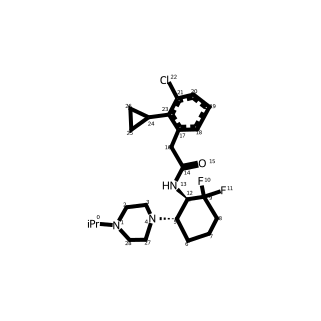 CC(C)N1CCN([C@H]2CCCC(F)(F)[C@@H]2NC(=O)Cc2cccc(Cl)c2C2CC2)CC1